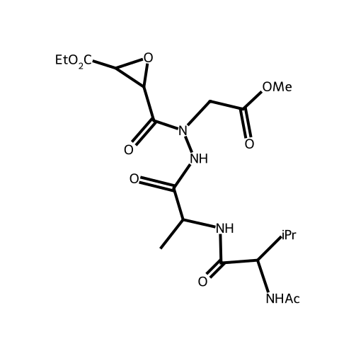 CCOC(=O)C1OC1C(=O)N(CC(=O)OC)NC(=O)C(C)NC(=O)C(NC(C)=O)C(C)C